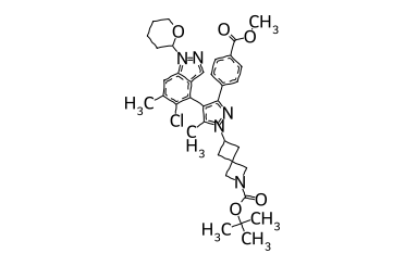 COC(=O)c1ccc(-c2nn(C3CC4(C3)CN(C(=O)OC(C)(C)C)C4)c(C)c2-c2c(Cl)c(C)cc3c2cnn3C2CCCCO2)cc1